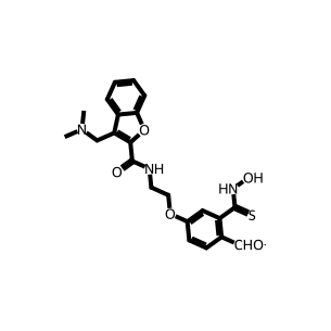 CN(C)Cc1c(C(=O)NCCOc2ccc([C]=O)c(C(=S)NO)c2)oc2ccccc12